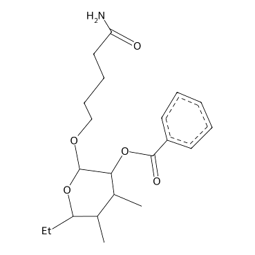 CCC1OC(OCCCCC(N)=O)C(OC(=O)c2ccccc2)C(C)C1C